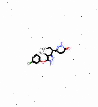 CCC(c1ccc(=O)[nH]n1)c1n[nH]c(Oc2cccc(Cl)c2)c1C